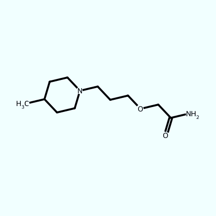 CC1CCN(CCCOCC(N)=O)CC1